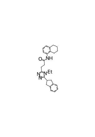 CCn1c(CCC(=O)Nc2cccc3c2CCCC3)nnc1C1Cc2ccccc2C1